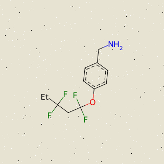 CCC(F)(F)CC(F)(F)Oc1ccc(CN)cc1